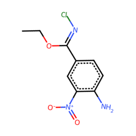 CCOC(=NCl)c1ccc(N)c([N+](=O)[O-])c1